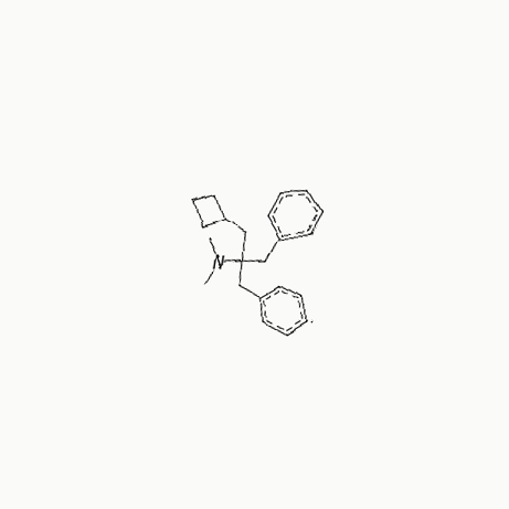 CN(C)C(Cc1cc[c]cc1)(Cc1ccccc1)CC1CCC1